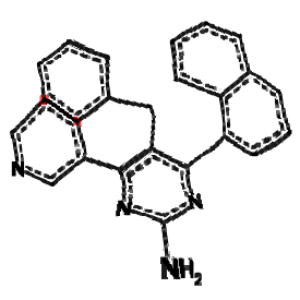 Nc1nc(-c2cccnc2)c(Cc2ccccc2)c(-c2cccc3ccccc23)n1